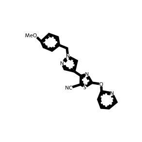 COc1ccc(Cn2cc(-c3nc(Oc4ccccn4)sc3C#N)cn2)cc1